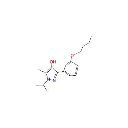 CCCCOc1cccc(-c2nn(C(C)C)c(C)c2O)c1